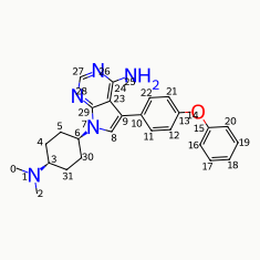 CN(C)[C@H]1CC[C@@H](n2cc(-c3ccc(Oc4ccccc4)cc3)c3c(N)ncnc32)CC1